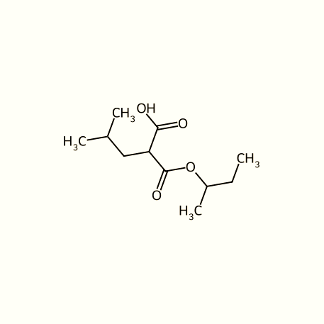 CCC(C)OC(=O)C(CC(C)C)C(=O)O